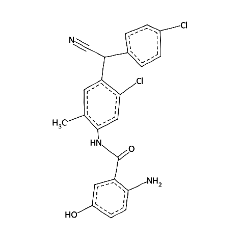 Cc1cc(C(C#N)c2ccc(Cl)cc2)c(Cl)cc1NC(=O)c1cc(O)ccc1N